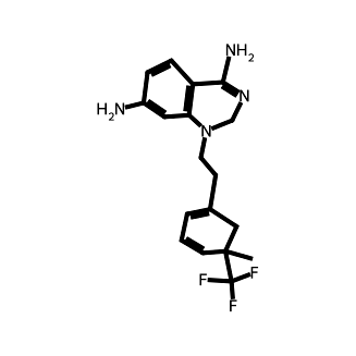 CC1(C(F)(F)F)C=CC=C(CCN2CN=C(N)c3ccc(N)cc32)C1